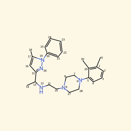 Cc1cccc(N2CCN(CCNC(C)c3cc(C)n(-c4ccccc4)n3)CC2)c1C